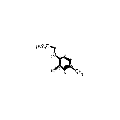 O=C(O)COc1ccc(C(F)(F)F)cc1I